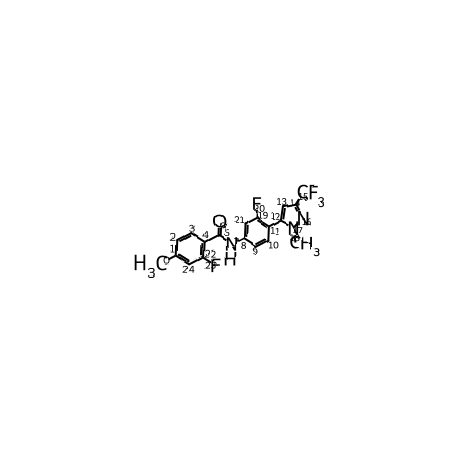 Cc1ccc(C(=O)Nc2ccc(-c3cc(C(F)(F)F)nn3C)c(F)c2)c(F)c1